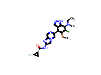 CCN(C)c1c(F)c(SC)c(-c2cn3cc(NC(=O)[C@@H]4C[C@@H]4F)nc3cn2)c2cn[nH]c12